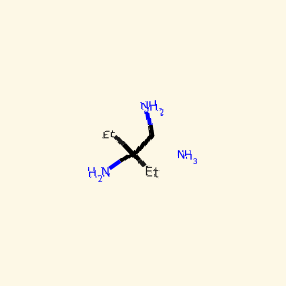 CCC(N)(CC)CN.N